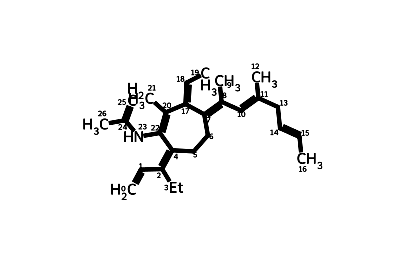 C=C/C(CC)=C1/CCC(=C(C)\C=C(/C)CC=CC)/C(=C\C)C(C)=C1NC(=C)C